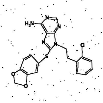 Nc1ncnc2c1nc(Sc1ccc3c(c1)OCO3)n2CCc1ccccc1Cl